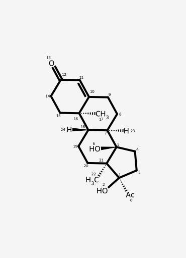 CC(=O)[C@@]1(O)CC[C@@]2(O)[C@@H]3CCC4=CC(=O)CC[C@]4(C)[C@H]3CC[C@@]21C